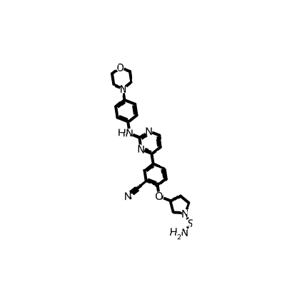 N#Cc1cc(-c2ccnc(Nc3ccc(N4CCOCC4)cc3)n2)ccc1OC1CCN(SN)C1